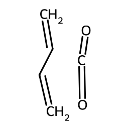 C=CC=C.O=C=O